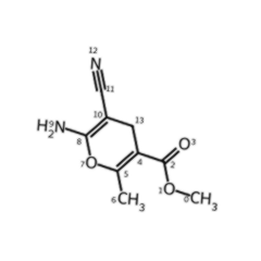 COC(=O)C1=C(C)OC(N)=C(C#N)C1